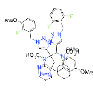 COc1cc(CC2(CC(c3cn(Cc4cccc(OC)c4F)nn3)(C(c3cn(Cc4c(F)cccc4F)nn3)N(C(=O)O)C3CCCCC3)N(C(=O)O)C3CCCCC3)C=NN=N2)cc(OC)c1